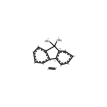 C=C.CCCCC1(CCCC)c2ccccc2-c2ccccc21